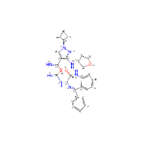 N=C(N[C@H]1N=C(c2ccccc2)c2ccccc2NC1=O)OC(=N)c1cn(C2CCC2)nc1N[C@@H]1CCOC1